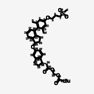 Cc1cc(OCCCS(C)(=O)=O)cc(C)c1-c1cccc2c1CC[C@H]2Oc1ccc2c(c1)SC[C@H]2CC(=O)OCOC(=O)C(C)(C)C